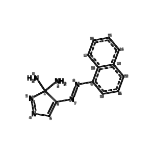 NC1(N)N=NC=C1N=Nc1cccc2ccccc12